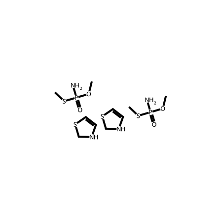 C1=CSCN1.C1=CSCN1.COP(N)(=O)SC.COP(N)(=O)SC